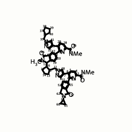 CNC(=O)c1ccc(-c2cnn(CC3CCCC3C3c4ccc(-c5nc(C(=O)NC)ccc5-c5cnn(CC6CCCC6)c5)cc4C(=O)N3C)c2)c(-c2ccc3c(c2)C(=O)N(C2CC2)C3)n1